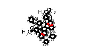 CC(C)(C)c1ccc(N2B3c4cc5c(cc4N(c4ccc(C(C)(C)C)cc4-c4ccccc4)c4cc6ccccc6c(c43)-c3cc(N(c4ccccc4)c4ccccc4)ccc32)Oc2ccccc2O5)c(-c2ccccc2)c1